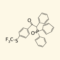 O=C(c1ccc(SC(F)(F)F)cc1)C(c1ccccc1)P(=O)(c1ccccc1)c1ccccc1